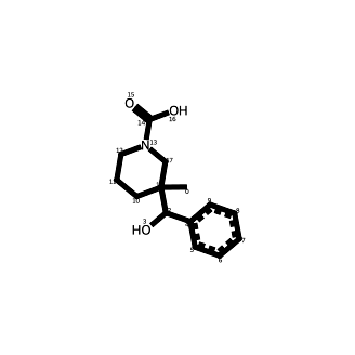 CC1(C(O)c2ccccc2)CCCN(C(=O)O)C1